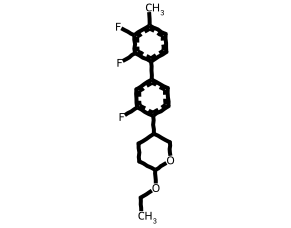 CCOC1CCC(c2ccc(-c3ccc(C)c(F)c3F)cc2F)CO1